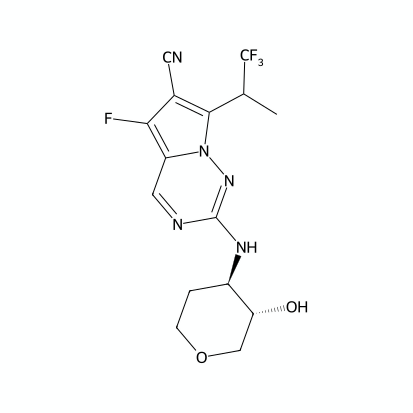 CC(c1c(C#N)c(F)c2cnc(N[C@@H]3CCOC[C@H]3O)nn12)C(F)(F)F